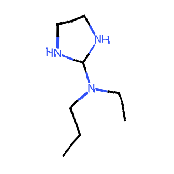 CCCN(CC)[C]1NCCN1